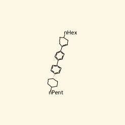 CCCCCCC1CC=C(c2ccc(-c3ccc([C@H]4CC[C@H](CCCCC)CC4)cc3)cc2)CC1